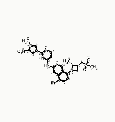 CC(C)c1ccc(N2C[C@H](CS(C)(=O)=O)[C@H]2C)c2cnc(Nc3ccnc(-c4cc([N+](=O)[O-])n(C)c4)n3)cc12